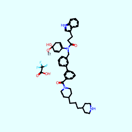 CCOC1(O)C=CC(N(Cc2cccc(-c3cccc(C(=O)N4CCC(CCCC5CCNCC5)CC4)c3)c2)C(=O)CCc2c[nH]c3ccccc23)=CC1.O=C(O)C(F)(F)F